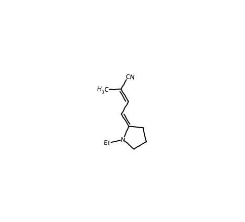 CCN1CCCC1=CC=C(C)C#N